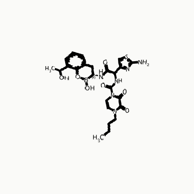 CCCCN1CCN(C(=O)NC(C(=O)N[C@H]2Cc3cccc(C(C)O)c3OB2O)c2csc(N)n2)C(=O)C1=O